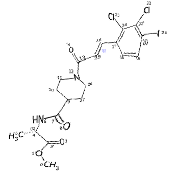 COC(=O)[C@H](C)NC(=O)C1CCN(C(=O)/C=C/c2ccc(I)c(Cl)c2Cl)CC1